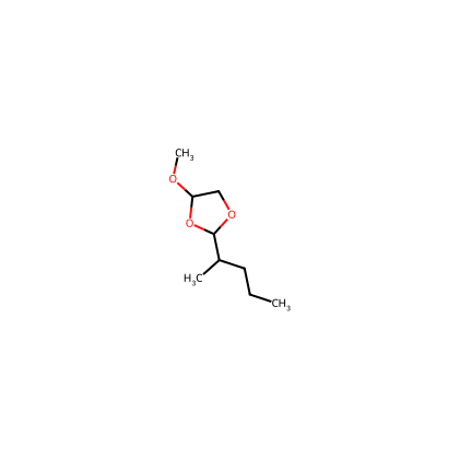 CCCC(C)C1OCC(OC)O1